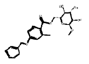 CO[C@H]1O[C@H](COC(=O)c2ccc(OCc3ccccc3)cc2C)[C@@H](O)[C@H](O)[C@H]1O